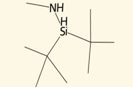 CN[SiH](C(C)(C)C)C(C)(C)C